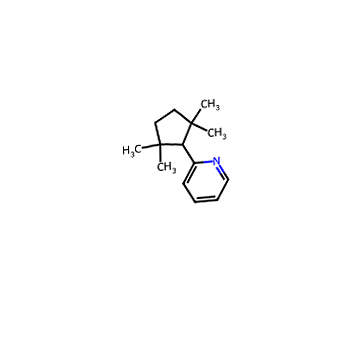 CC1(C)CCC(C)(C)C1c1ccccn1